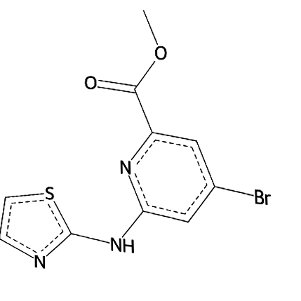 COC(=O)c1cc(Br)cc(Nc2nccs2)n1